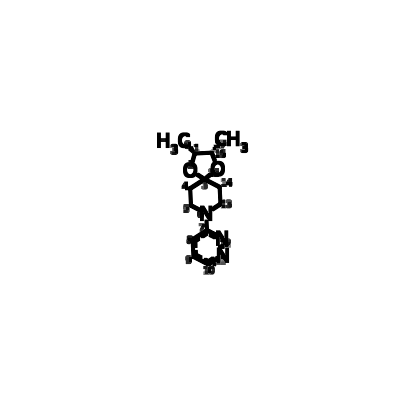 C[C@@H]1OC2(CCN(c3cc[c]nn3)CC2)O[C@H]1C